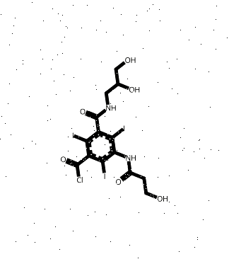 O=C(CCO)Nc1c(I)c(C(=O)Cl)c(I)c(C(=O)NCC(O)CO)c1I